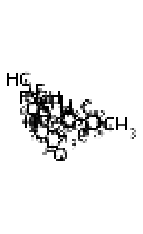 C#CC(F)(F)[C@@]1(O)CC[C@@H]2[C@H]3CCC4=CC(=O)CCC4=C3[C@H](c3ccc(-c4c(C)cc(C)cc4C)cc3)C[C@]21C